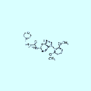 COc1cccc(OC)c1-c1c[nH]c2nc(NC(=O)[C@H]3C[C@@H]3CN3CCOCC3)ccc12